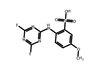 COc1ccc(Nc2nc(F)nc(F)n2)c(S(=O)(=O)O)c1